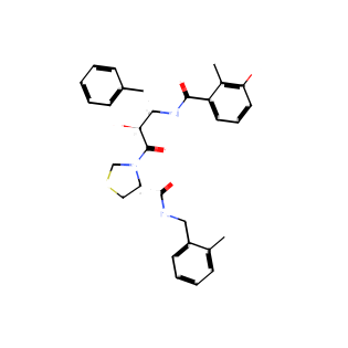 Cc1ccccc1CNC(=O)[C@@H]1CSCN1C(=O)[C@@H](O)[C@H](Cc1ccccc1)NC(=O)c1cccc(O)c1C